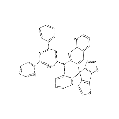 c1ccc(-c2nc(-c3ccccn3)nc(N3c4ccccc4C4(c5cc6cccnc6cc53)c3ccsc3-c3sccc34)n2)cc1